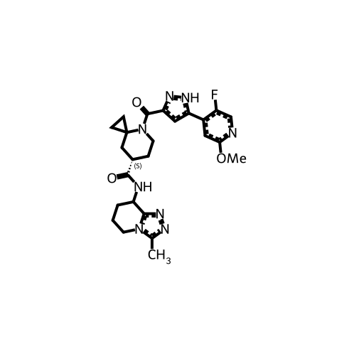 COc1cc(-c2cc(C(=O)N3CC[C@H](C(=O)NC4CCCn5c(C)nnc54)CC34CC4)n[nH]2)c(F)cn1